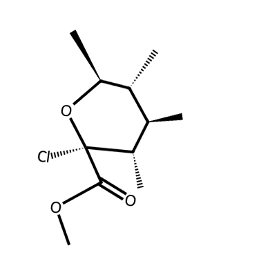 COC(=O)[C@@]1(Cl)O[C@@H](C)[C@H](C)[C@@H](C)[C@@H]1C